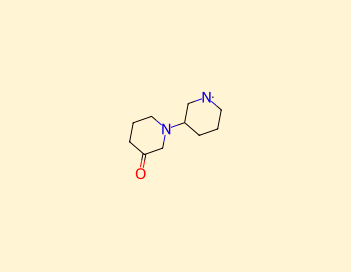 O=C1CCCN(C2CCC[N]C2)C1